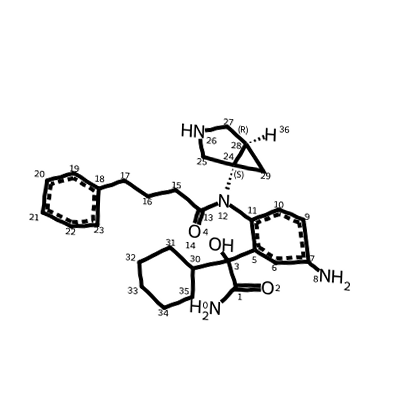 NC(=O)C(O)(c1cc(N)ccc1N(C(=O)CCCc1ccccc1)[C@]12CNC[C@H]1C2)C1CCCCC1